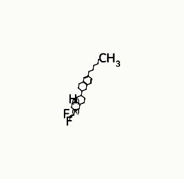 CCCCCCc1ccc2c(c1)CCC(C1CCC3C[C@H](C=C(F)F)CC[C@@H]3C1)C2